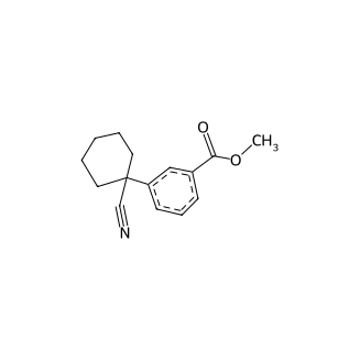 COC(=O)c1cccc(C2(C#N)CCCCC2)c1